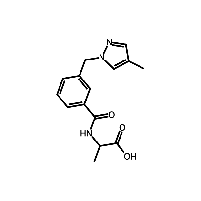 Cc1cnn(Cc2cccc(C(=O)NC(C)C(=O)O)c2)c1